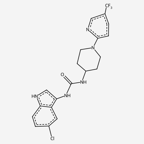 O=C(Nc1c[nH]c2ccc(Cl)cc12)NC1CCN(c2ccc(C(F)(F)F)cn2)CC1